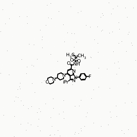 CC(C)c1nn(-c2ccc(F)cc2)c2nc(C(=O)NS(=O)(=O)N(C)C)cc(N3CCC(N4CCOCC4)CC3)c12